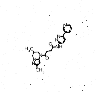 Cc1cc2n(n1)CC(C)CN2C(=O)CCC(=O)Nc1ccc(-c2cccnc2)nn1